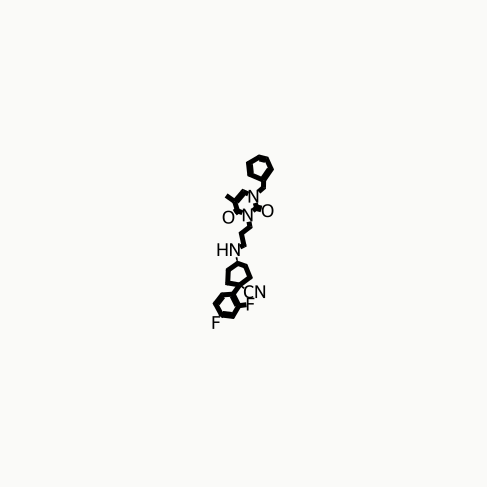 Cc1cn(Cc2ccccc2)c(=O)n(CCCN[C@H]2CC[C@](C#N)(c3ccc(F)cc3F)CC2)c1=O